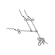 CCCCCCC#CCOC(=O)CCCCCCCCN(CCCCCCCCC(=O)OCC#CCCCCCC)CCCN(CCCCCCCCC(=O)OCC#CCCCCCC)CCCCCC(=O)Nc1nc2ccccc2c2sc(CCC)nc12